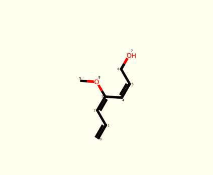 C=C/C=C(\C=C/CO)OC